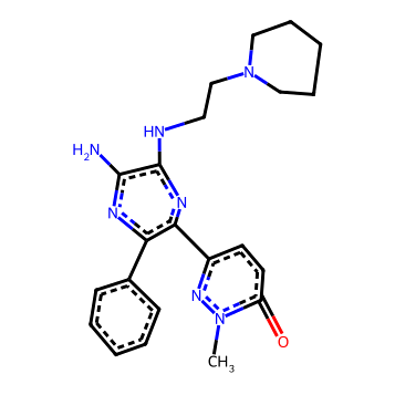 Cn1nc(-c2nc(NCCN3CCCCC3)c(N)nc2-c2ccccc2)ccc1=O